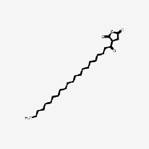 CCCCCCCCCCCCCCCCCCCCCC(=O)C1CC(=O)OC1=O